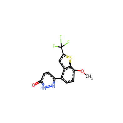 COc1ccc(-c2ccc(=O)[nH]n2)c2cc(C(F)(F)F)sc12